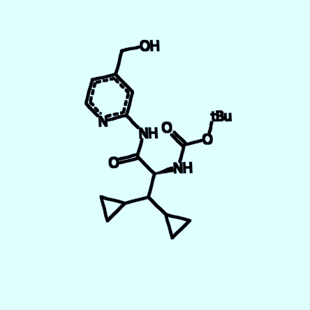 CC(C)(C)OC(=O)N[C@H](C(=O)Nc1cc(CO)ccn1)C(C1CC1)C1CC1